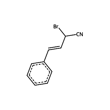 N#CC(Br)C=Cc1ccccc1